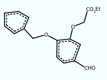 CCOC(=O)COc1cc(C=O)ccc1OCc1ccccc1